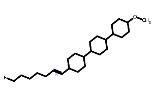 COC1CCC(C2CCC(C3CCC(/C=C/CCCCCF)CC3)CC2)CC1